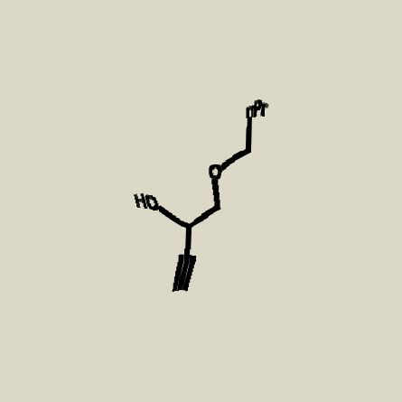 C#CC(O)COCCCC